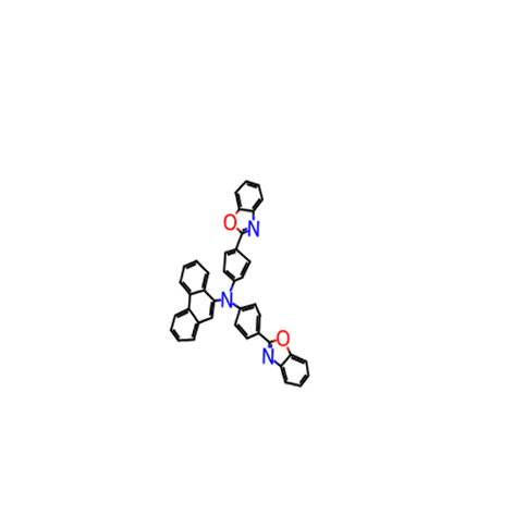 c1ccc2c(c1)cc(N(c1ccc(-c3nc4ccccc4o3)cc1)c1ccc(-c3nc4ccccc4o3)cc1)c1ccccc12